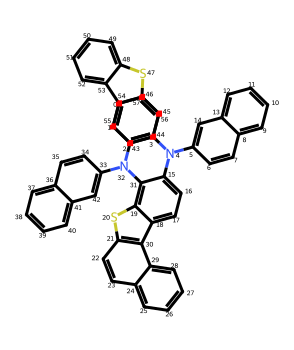 c1ccc(N(c2ccc3ccccc3c2)c2ccc3c(sc4ccc5ccccc5c43)c2N(c2ccc3ccccc3c2)c2ccc3sc4ccccc4c3c2)cc1